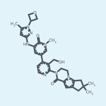 Cc1cc(Nc2cc(-c3ccnc(N4CCn5c(cc6c5CC(C)(C)C6)C4=O)c3CO)cn(C)c2=O)nn1C1COC1